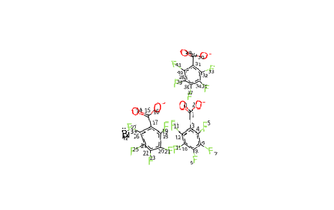 O=C([O-])c1c(F)c(F)c(F)c(F)c1F.O=C([O-])c1c(F)c(F)c(F)c(F)c1F.O=C([O-])c1c(F)c(F)c(F)c(F)c1F.[Bi+3]